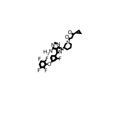 Nc1ncnc2c1c(-c1ccc(Oc3c(F)c(F)cc(F)c3F)cc1F)nn2C1CCCN(C(=O)CC(=O)C2CC2)C1